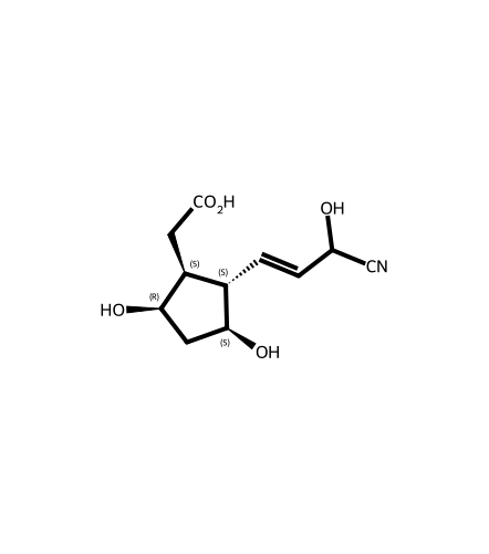 N#CC(O)C=C[C@H]1[C@H](CC(=O)O)[C@H](O)C[C@@H]1O